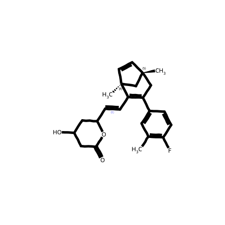 Cc1cc(C2=C(/C=C/C3CC(O)CC(=O)O3)[C@@]3(C)C=C[C@](C)(C2)C3)ccc1F